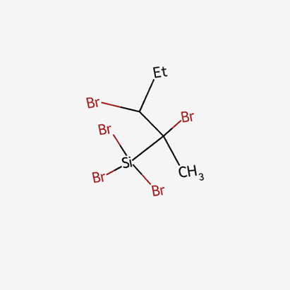 CCC(Br)C(C)(Br)[Si](Br)(Br)Br